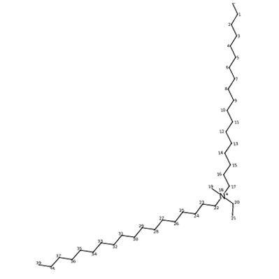 CCCCCCCCCCCCCCCCCC[N+](C)(CC)CCCCCCCCCCCCCCCCCC